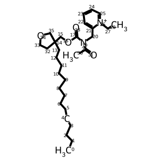 CCCCCCCCCCCCCCC1(COC(=O)N(Cc2cccc[n+]2CC)C(C)=O)CCOC1